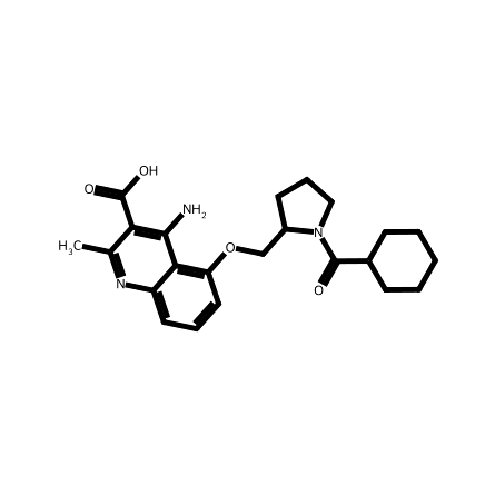 Cc1nc2cccc(OCC3CCCN3C(=O)C3CCCCC3)c2c(N)c1C(=O)O